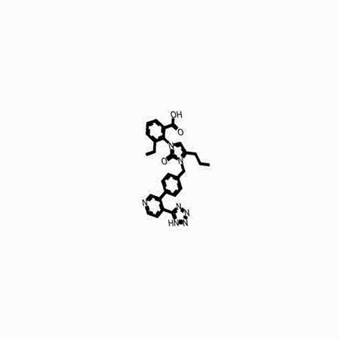 CCCc1cn(-c2c(CC)cccc2C(=O)O)c(=O)n1Cc1ccc(-c2cnccc2-c2nnn[nH]2)cc1